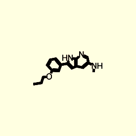 CCCOc1cccc(-c2cc3cc(NC)cnc3[nH]2)c1